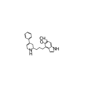 COc1ccc2[nH]ccc2c1CCCC1CC(c2ccccc2)=CCN1